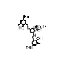 CC(=O)[O-].CC(=O)[O-].Cc1cc(C(C)(C)C)cc(C=NC2CCC(N=Cc3cc(C(C)(C)C)cc(C)c3O)C2)c1O.[Co+2]